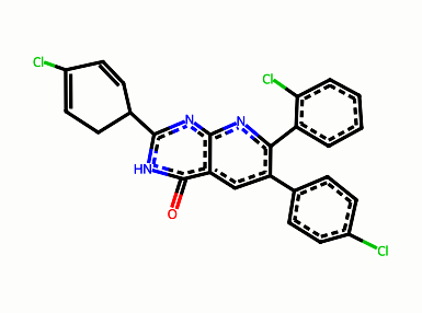 O=c1[nH]c(C2C=CC(Cl)=CC2)nc2nc(-c3ccccc3Cl)c(-c3ccc(Cl)cc3)cc12